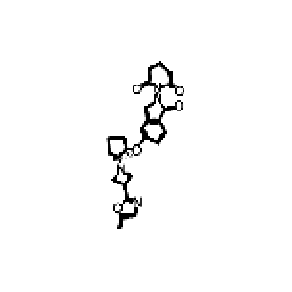 Cc1cnc(C2CN([C@@H]3CCC[C@H]3Oc3ccc4c(c3)CN(N3C(=O)CCCC3=O)C4=O)C2)o1